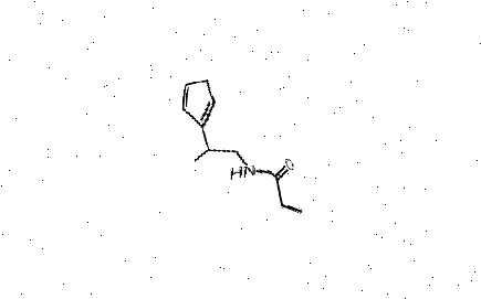 CCC(=O)NCC(C)C1=CCC=C1